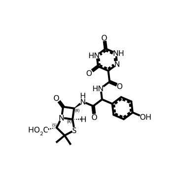 CC1(C)S[C@@H]2[C@H](NC(=O)C(NC(=O)c3n[nH]c(=O)[nH]c3=O)c3ccc(O)cc3)C(=O)N2[C@H]1C(=O)O